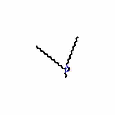 CCCCCCCCCCCCCCCCc1n(CCC)cc[n+]1CCCCCCCCCCCCCC